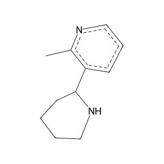 Cc1ncccc1C1CCCCN1